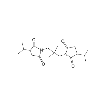 CC(C)C1CC(=O)N(CC(C)(C)CN2C(=O)CC(C(C)C)C2=O)C1=O